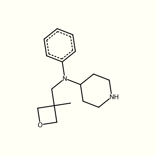 CC1(CN(c2ccccc2)C2CCNCC2)COC1